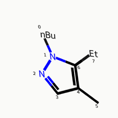 CCCCn1n[c]c(C)c1CC